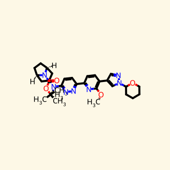 COc1nc(-c2ccc(N(C)[C@@H]3C[C@H]4CC[C@@H](C3)N4C(=O)OC(C)(C)C)nn2)ccc1-c1cnn(C2CCCCO2)c1